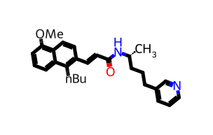 CCCCc1c(/C=C/C(=O)N[C@H](C)CCCc2cccnc2)ccc2c(OC)cccc12